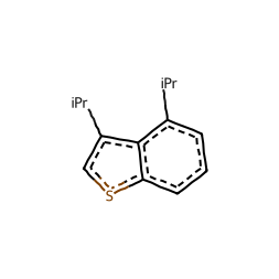 CC(C)c1cccc2scc(C(C)C)c12